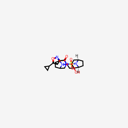 O=C(N[C@H]1C[C@H]2CC[C@@H](C1)N2S(=O)(=O)N1CC2CCC(C1)N2CCCO)c1cc(C2CC2)on1